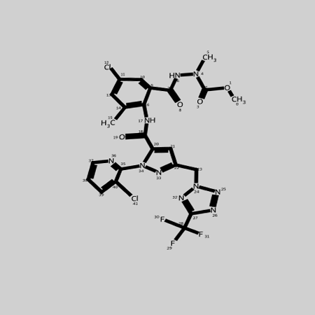 COC(=O)N(C)NC(=O)c1cc(Cl)cc(C)c1NC(=O)c1cc(Cn2nnc(C(F)(F)F)n2)nn1-c1ncccc1Cl